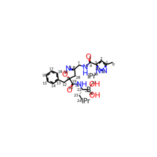 Cc1cc(C(=O)NCC2=NOC(Cc3ccccc3)(C(=O)N[C@@H](CC(C)C)B(O)O)C2)n(C(C)C)n1